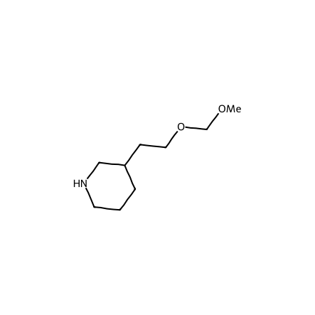 COCOCCC1CCCNC1